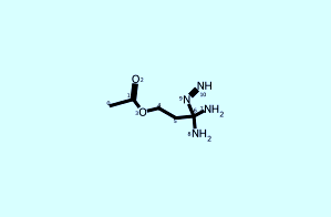 CC(=O)OCCC(N)(N)N=N